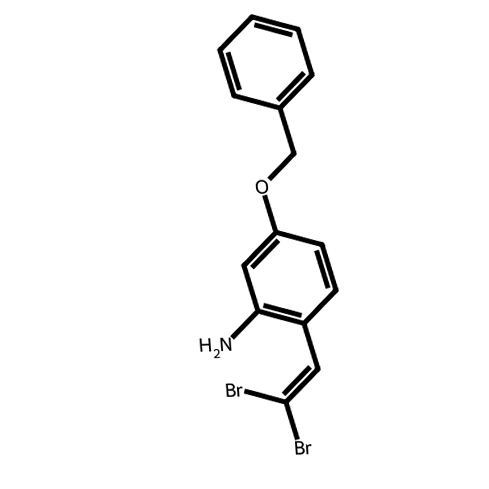 Nc1cc(OCc2ccccc2)ccc1C=C(Br)Br